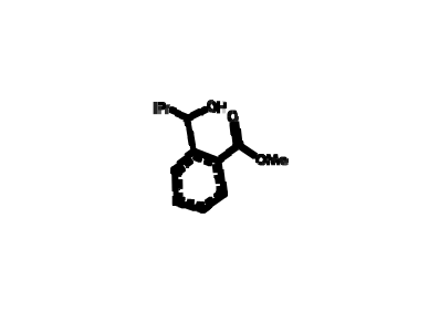 COC(=O)c1ccccc1C(O)C(C)C